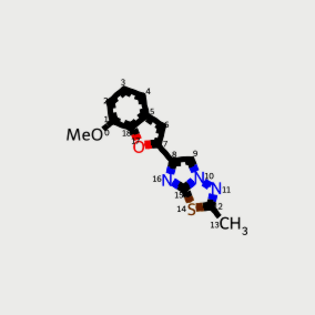 COc1cccc2cc(-c3cn4nc(C)sc4n3)oc12